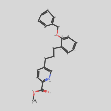 COC(=O)c1ccc(CCCc2ccccc2OCc2ccccc2)cn1